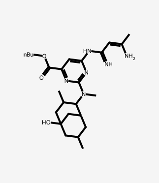 CCCCOC(=O)c1cc(NC(=N)/C=C(/C)N)nc(N(C)C2C(C)CC3(O)CC(C)CC2C3)n1